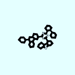 c1ccc(-c2ccccc2-c2nc(-c3ccc4cc(-c5ccccc5)c5ccccc5c4c3)nc(-c3cccc4oc5ccccc5c34)n2)cc1